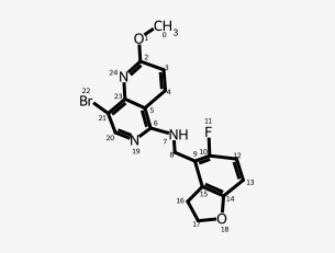 COc1ccc2c(NCc3c(F)ccc4c3CCO4)ncc(Br)c2n1